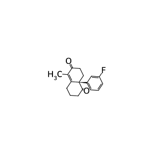 CC1=C2CCCC(=O)[C@@]2(c2cccc(F)c2)CCC1=O